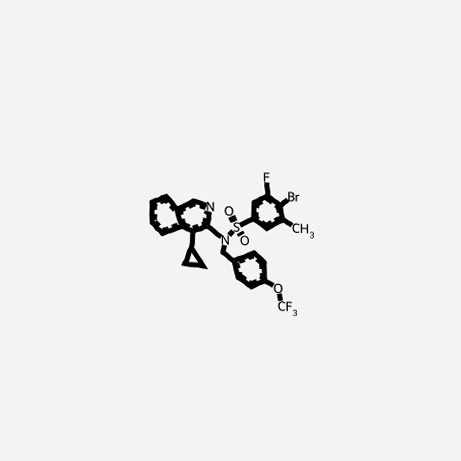 Cc1cc(S(=O)(=O)N(Cc2ccc(OC(F)(F)F)cc2)c2ncc3ccccc3c2C2CC2)cc(F)c1Br